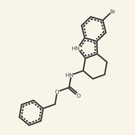 O=C(NC1CCCc2c1[nH]c1ccc(Br)cc21)OCc1ccccc1